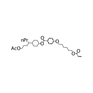 C=CC(=O)OCCCCCCOc1ccc(C(=O)OC2CCC(C(CCC)CCCOC(C)=O)CC2)cc1